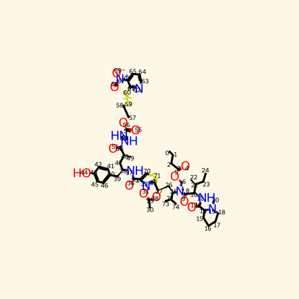 CCCC(=O)OCN(C(=O)[C@H](NC(=O)C1CCCCN1C)[C@@H](C)CC)[C@H](C[C@@H](OC(C)=O)c1nc(C(=O)N[C@@H](Cc2ccc(O)cc2)C[C@H](C)C(=O)NNC(=O)OCCSSc2ncccc2[N+](=O)[O-])cs1)C(C)C